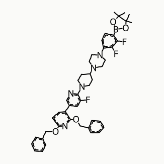 CC1(C)OB(c2ccc(N3CCN(C4CCN(c5ncc(-c6ccc(OCc7ccccc7)nc6OCc6ccccc6)cc5F)CC4)CC3)c(F)c2F)OC1(C)C